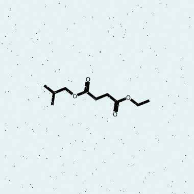 CCOC(=O)CCC(=O)OCC(C)C